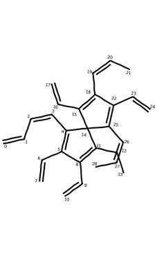 C=C/C=C\C1=C(C=C)C(C=C)=C(CC)C12C(C=C)=C(/C=C\C)C(C=C)=C2/C=C\C